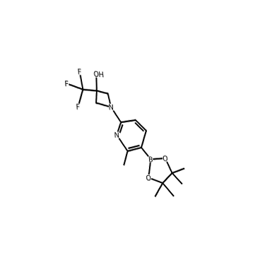 Cc1nc(N2CC(O)(C(F)(F)F)C2)ccc1B1OC(C)(C)C(C)(C)O1